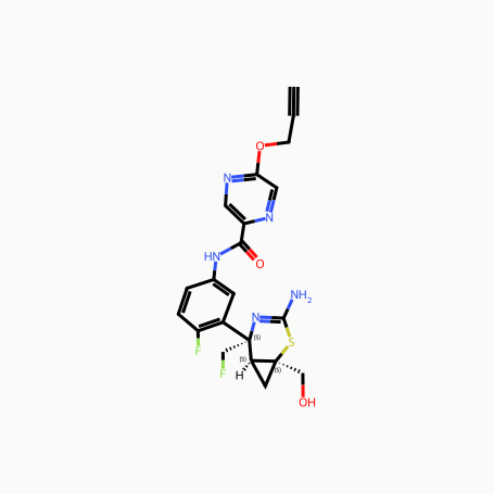 C#CCOc1cnc(C(=O)Nc2ccc(F)c([C@@]3(CF)N=C(N)S[C@@]4(CO)C[C@H]43)c2)cn1